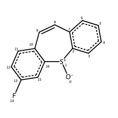 [O-][S+]1c2ccccc2C=Cc2ccc(F)cc21